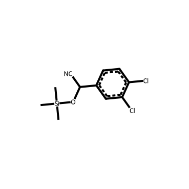 C[Si](C)(C)OC(C#N)c1ccc(Cl)c(Cl)c1